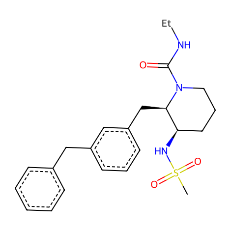 CCNC(=O)N1CCC[C@@H](NS(C)(=O)=O)[C@H]1Cc1cccc(Cc2ccccc2)c1